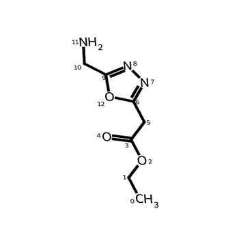 CCOC(=O)Cc1nnc(CN)o1